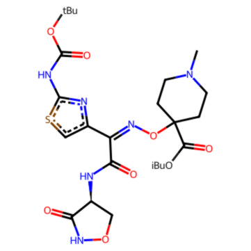 CC(C)COC(=O)C1(O/N=C(\C(=O)N[C@H]2CONC2=O)c2csc(NC(=O)OC(C)(C)C)n2)CCN(C)CC1